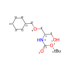 CC(C)(C)OC(=O)NC(CO)COCC1CCCCC1